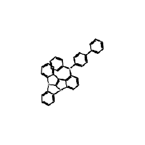 c1ccc(-c2ccc(N(c3ccccc3)c3cccc4c3c3c5ccccc5n5c6ccccc6n4c35)cc2)cc1